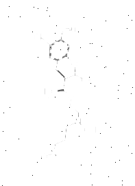 C=C(OCCN(C)CCCNO)C1=Cc2cc(Cl)c(C(C)(C)C)cc2OC1C(F)(F)F